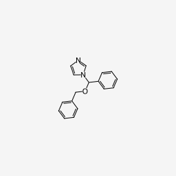 c1ccc(COC(c2ccccc2)n2ccnc2)cc1